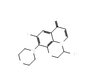 CC1COc2c(N3CCOCC3)c(F)cc3c(=O)ccn1c23